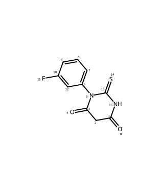 O=C1CC(=O)N(c2cccc(F)c2)C(=S)N1